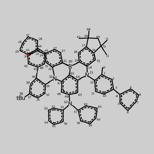 Cc1cc(-c2ccccc2)ccc1N1c2cc3c(cc2B2c4ccc(-c5ccccc5)cc4N(c4ccc(C(C)(C)C)cc4-c4ccccc4)c4cc(N(c5ccccc5)c5ccccc5)cc1c42)C(C)(C)CC3(C)C